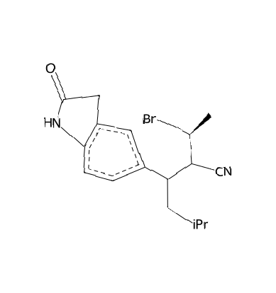 CC(C)CC(c1ccc2c(c1)CC(=O)N2)C(C#N)[C@H](C)Br